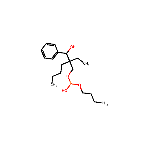 CCCCOP(O)OCC(CC)(CCCC)C(O)c1ccccc1